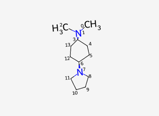 CN(C)[C@H]1CC[C@@H](N2CCCC2)CC1